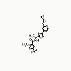 C[C@H](NC(=O)c1cc(C(F)(F)F)nn1C)c1nc(-c2ccnc(COC3CC3)c2)no1